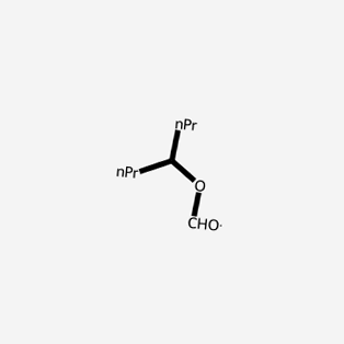 CCCC(CCC)O[C]=O